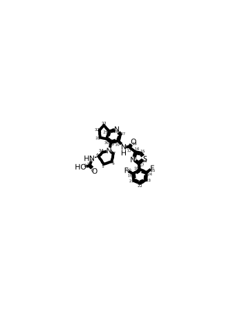 O=C(O)N[C@H]1CCCN(c2c(NC(=O)c3csc(-c4c(F)cccc4F)n3)cnc3c2CCC3)C1